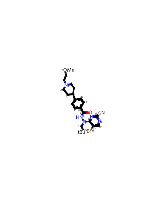 COCCN1CCC(c2ccc(C(=O)NN(CC(C)(C)C)c3nc(C#N)ncc3Br)cc2)CC1